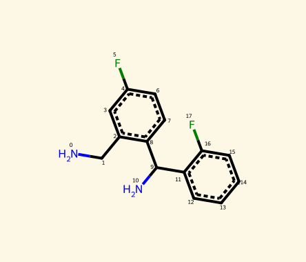 NCc1cc(F)ccc1C(N)c1cc[c]cc1F